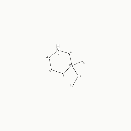 C[CH]C1(C)CCCNC1